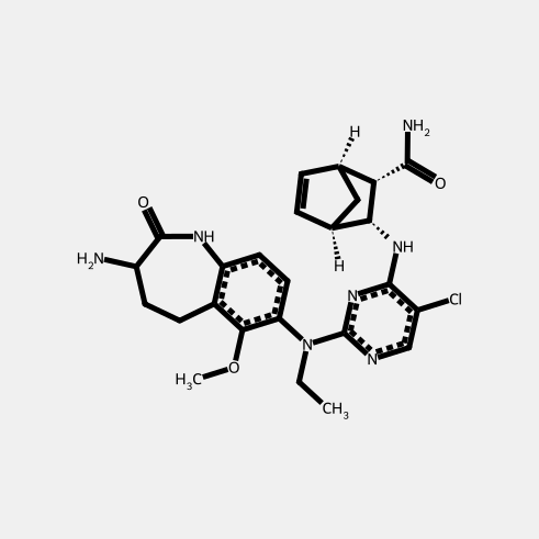 CCN(c1ncc(Cl)c(N[C@H]2[C@@H](C(N)=O)[C@@H]3C=C[C@H]2C3)n1)c1ccc2c(c1OC)CCC(N)C(=O)N2